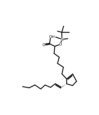 CCCCCC/C=C/[C@H]1CCC=C1CCCCCC(O[Si](C)(C)C(C)(C)C)C(=O)O